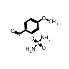 COc1ccc(I=O)cc1.NS(N)(=O)=O